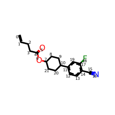 C=CCCC(=O)OC1CCC(c2ccc(C#N)c(F)c2)CC1